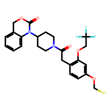 O=C(Cc1ccc(OCS)cc1OCC(F)(F)F)N1CCC(N2C(=O)OCc3ccccc32)CC1